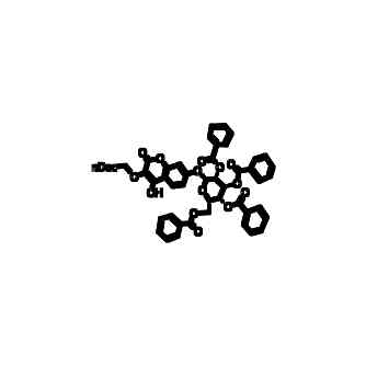 CCCCCCCCCCCOc1c(O)c2ccc(O[C@@H]3O[C@H](COC(=O)c4ccccc4)[C@@H](OC(=O)c4ccccc4)[C@H](OC(=O)c4ccccc4)[C@H]3OC(=O)c3ccccc3)cc2oc1=O